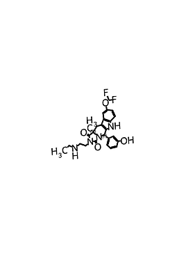 CCNCCN1C(=O)N2[C@H](c3cccc(O)c3)c3[nH]c4ccc(OC(F)F)cc4c3C[C@@]2(C)C1=O